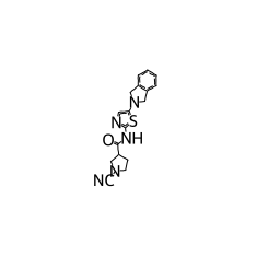 N#CN1CCC(C(=O)Nc2ncc(N3Cc4ccccc4C3)s2)C1